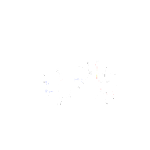 CCOC1[C@@H]([C@H](C)CCCNCC2(S(=O)(=O)C3(C4COC(C)(C)O4)CC3)CC2)NN1C